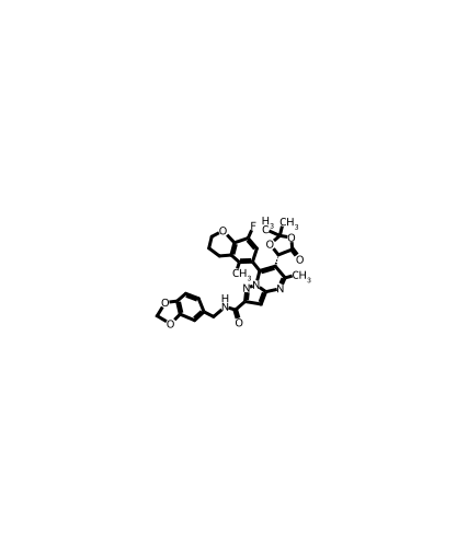 Cc1nc2cc(C(=O)NCc3ccc4c(c3)OCO4)nn2c(-c2cc(F)c3c(c2C)CCCO3)c1[C@@H]1OC(C)(C)OC1=O